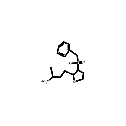 CC(CCC1OCCC1P(=O)(O)Cc1ccccc1)C(=O)O